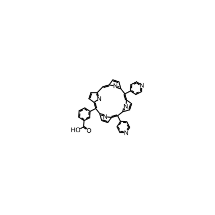 O=C(O)c1cccc(C2=C3C=CC(=N3)C=C3C=CC(=N3)C(c3ccncc3)=C3C=CC(=N3)C(c3ccncc3)=C3C=CC2=N3)c1